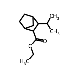 CCOC(=O)C1C2CCC(C2)C1C(C)C